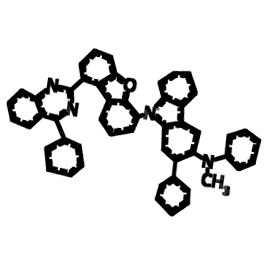 CN(c1ccccc1)c1cc2c3ccccc3n(-c3cccc4c3oc3cccc(-c5nc(-c6ccccc6)c6ccccc6n5)c34)c2cc1-c1ccccc1